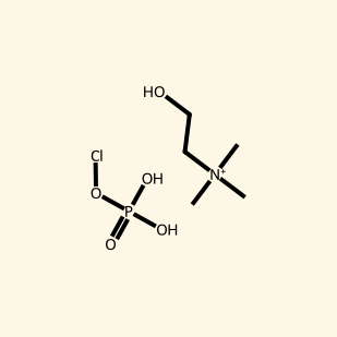 C[N+](C)(C)CCO.O=P(O)(O)OCl